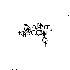 Cn1cnc(S(=O)(=O)N(CC2CC2)[C@H]2CCC3=Cc4c(cnn4-c4ccc(F)cc4)C[C@]3(C(=O)c3ncc(C(F)(F)F)s3)C2)c1